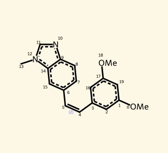 COc1cc(/C=C\c2ccc3ncn(C)c3c2)cc(OC)c1